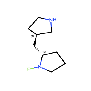 FN1CCC[C@H]1C[C@H]1CCNC1